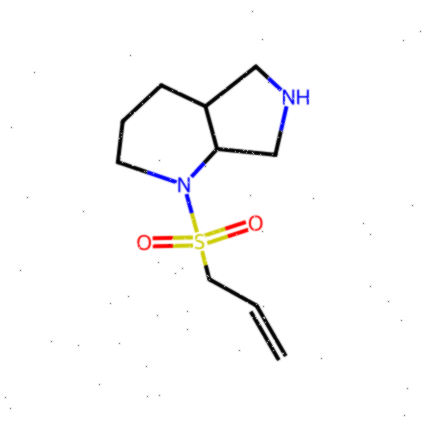 C=CCS(=O)(=O)N1CCCC2CNCC21